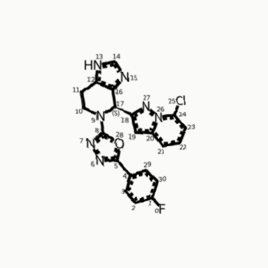 Fc1ccc(-c2nnc(N3CCc4[nH]cnc4[C@H]3c3cc4cccc(Cl)n4n3)o2)cc1